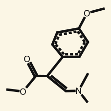 COC(=O)/C(=C/N(C)C)c1ccc(OC)cc1